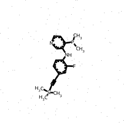 CP(C)c1ccncc1Nc1ccc(C#C[Si](C)(C)C)cc1F